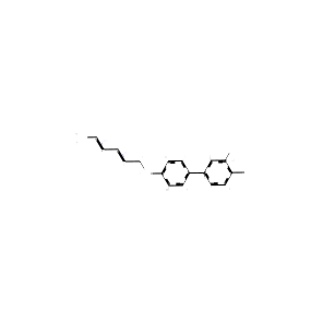 C/C=C/C=C/COc1ccc(-c2ccc(F)c(F)c2)cc1